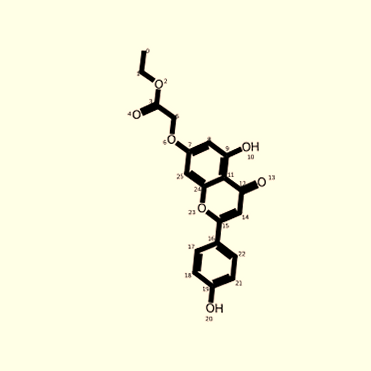 CCOC(=O)COc1cc(O)c2c(=O)cc(-c3ccc(O)cc3)oc2c1